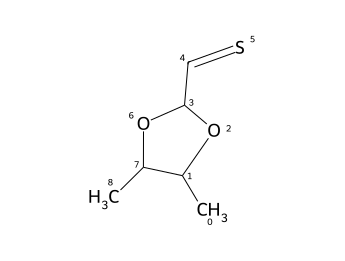 CC1OC(C=S)OC1C